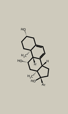 CC(=O)[C@]1(O)CC[C@H]2C3=CC=C4C[C@@H](O)CC[C@]4(C)[C@H]3[C@@H](O)C[C@@]21C